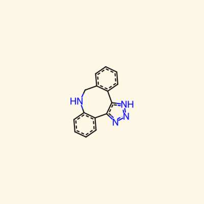 c1ccc2c(c1)CNc1ccccc1-c1nn[nH]c1-2